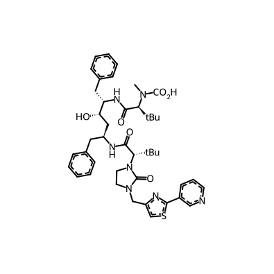 CN(C(=O)O)[C@H](C(=O)N[C@@H](Cc1ccccc1)[C@@H](O)C[C@H](Cc1ccccc1)NC(=O)[C@@H](N1CCN(Cc2csc(-c3cccnc3)n2)C1=O)C(C)(C)C)C(C)(C)C